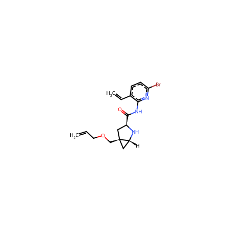 C=CCOC[C@@]12C[C@@H](C(=O)Nc3nc(Br)ccc3C=C)N[C@@H]1C2